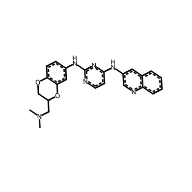 CN(C)CC1COc2ccc(Nc3nccc(Nc4cnc5ccccc5c4)n3)cc2O1